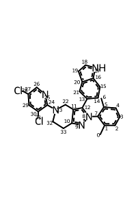 Cc1cccc(C)c1-n1nc2c(c1-c1ccc3[nH]ccc3c1)CN(c1ncc(Cl)cc1Cl)CC2